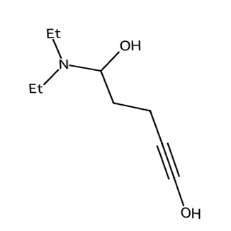 CCN(CC)C(O)CCC#CO